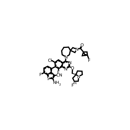 N#Cc1c(N)sc2c(F)ccc(-c3c(Cl)cc4c(N5CCCCC6(CN(C(=O)C78CC(F)(C7)C8)C6)C5)nc(OC[C@@]56CCCN5C[C@H](F)C6)nc4c3F)c12